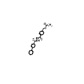 CC(=O)OCc1ccc(C(=O)NNC(=O)c2ccc(-c3ccccc3)cc2)cc1